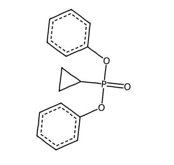 O=P(Oc1ccccc1)(Oc1ccccc1)C1CC1